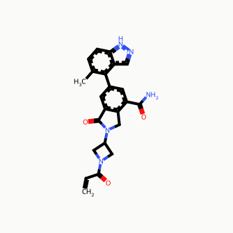 C=CC(=O)N1CC(N2Cc3c(C(N)=O)cc(-c4c(C)ccc5[nH]ncc45)cc3C2=O)C1